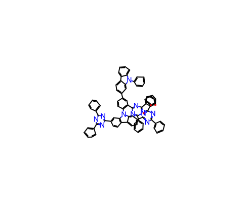 c1ccc(-c2nc(-c3ccccc3)nc(-c3ccc4c5ccc(-c6nc(-c7ccccc7)nc(-c7ccccc7)n6)cc5n(-c5ccc(-c6ccc7c8ccccc8n(-c8ccccc8)c7c6)cc5-c5nc(-c6ccccc6)nc(-c6ccccc6)n5)c4c3)n2)cc1